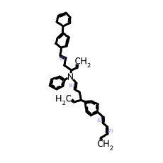 C=C/C=C\C=C\c1ccc(C(C=C)C/C=C/N(c2ccccc2)C(C=C)C/C=C/C2C=CC(C3C=CC=CC3)=CC2)cc1